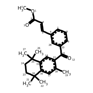 COC(=O)C=Cc1cccc(C(=O)c2cc3c(cc2C)C(C)(C)CCC3(C)C)c1